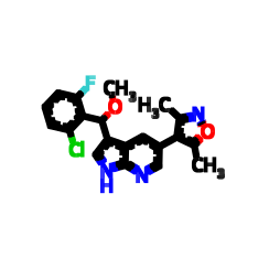 COC(c1c(F)cccc1Cl)c1c[nH]c2ncc(-c3c(C)noc3C)cc12